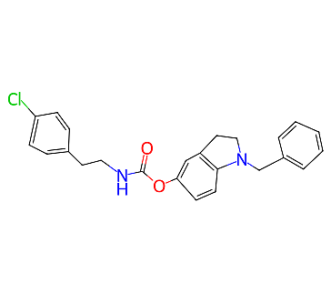 O=C(NCCc1ccc(Cl)cc1)Oc1ccc2c(c1)CCN2Cc1ccccc1